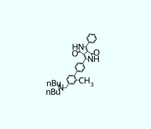 CCCCN(CCCC)Cc1ccc(-c2ccc(C3=C4C(=O)NC(c5ccccc5)=C4C(=O)N3)cc2)c(C)c1